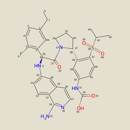 CCc1ccc(F)c([C@H](Nc2ccc3c(N)nccc3c2)C(=O)N2CCC[C@@H]2c2cc(NC(=O)O)ccc2S(=O)(=O)C(C)C)c1